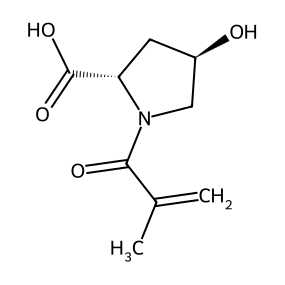 C=C(C)C(=O)N1C[C@H](O)C[C@H]1C(=O)O